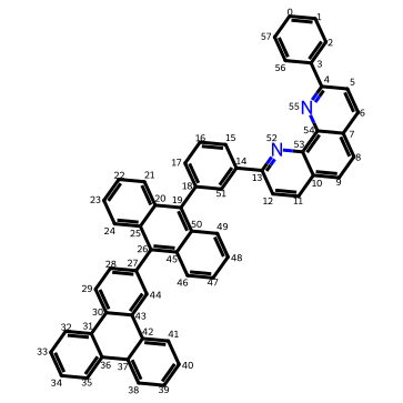 c1ccc(-c2ccc3ccc4ccc(-c5cccc(-c6c7ccccc7c(-c7ccc8c9ccccc9c9ccccc9c8c7)c7ccccc67)c5)nc4c3n2)cc1